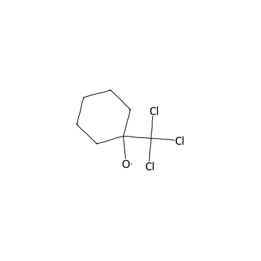 [O]C1(C(Cl)(Cl)Cl)CCCCC1